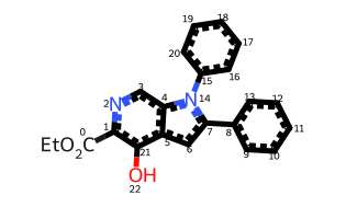 CCOC(=O)c1ncc2c(cc(-c3ccccc3)n2-c2ccccc2)c1O